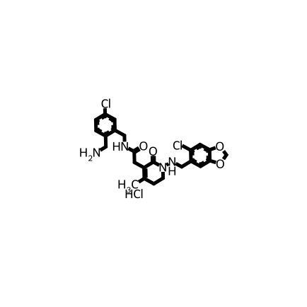 CC1=C(CC(=O)NCc2cc(Cl)ccc2CN)C(=O)N(NCc2cc3c(cc2Cl)OCO3)CC1.Cl